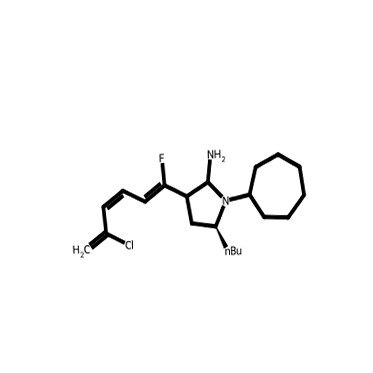 C=C(Cl)/C=C\C=C(/F)C1C[C@H](CCCC)N(C2CCCCCC2)C1N